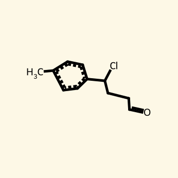 Cc1ccc(C(Cl)CCC=O)cc1